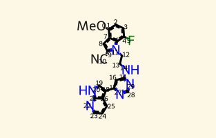 COc1ccc(F)c2c1cc(C#N)n2CCNc1cc(-c2c[nH]c3ncccc23)ncn1